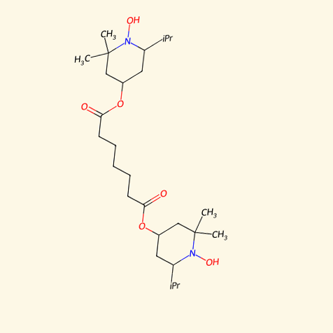 CC(C)C1CC(OC(=O)CCCCCC(=O)OC2CC(C(C)C)N(O)C(C)(C)C2)CC(C)(C)N1O